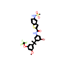 COc1cc(OC(F)(F)F)cc(C(C)(C)c2cc(Br)cc(NC(=O)c3cc4cc(NS(C)(=O)=O)ccc4s3)c2)c1